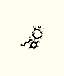 CCCCCO[C@@H]1[C@@H](Cc2ccc(F)cc2)COC[C@H](N)C(=O)O[C@H]1C